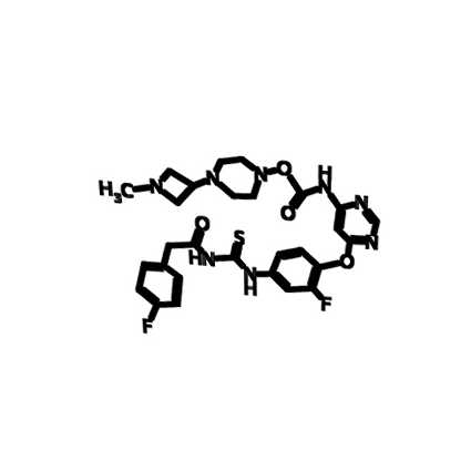 CN1CC(N2CCN(OC(=O)Nc3cc(Oc4ccc(NC(=S)NC(=O)Cc5ccc(F)cc5)cc4F)ncn3)CC2)C1